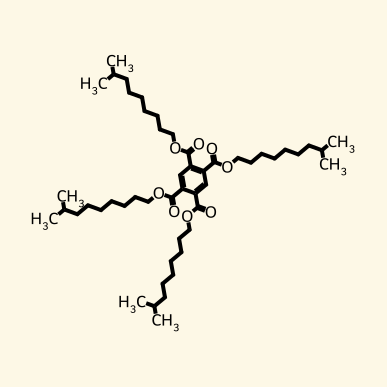 CC(C)CCCCCCCOC(=O)c1cc(C(=O)OCCCCCCCC(C)C)c(C(=O)OCCCCCCCC(C)C)cc1C(=O)OCCCCCCCC(C)C